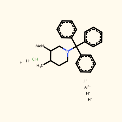 CNC1CN(C(c2ccccc2)(c2ccccc2)c2ccccc2)CCC1C.Cl.[Al+3].[H-].[H-].[H-].[H-].[Li+]